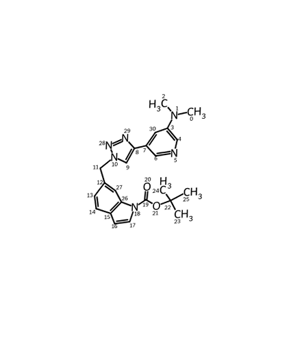 CN(C)c1cncc(-c2cn(Cc3ccc4ccn(C(=O)OC(C)(C)C)c4c3)nn2)c1